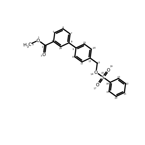 COC(=O)c1cccc(-c2ccc(COS(=O)(=O)c3ccccc3)cc2)c1